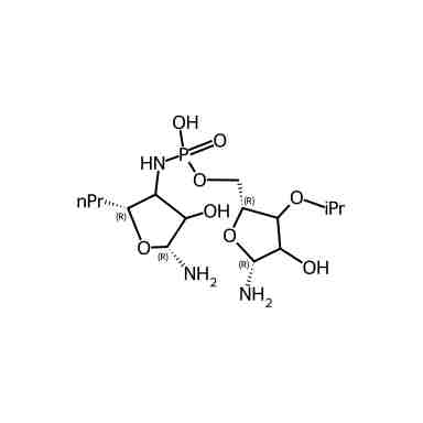 CCC[C@H]1O[C@@H](N)C(O)C1NP(=O)(O)OC[C@H]1O[C@@H](N)C(O)C1OC(C)C